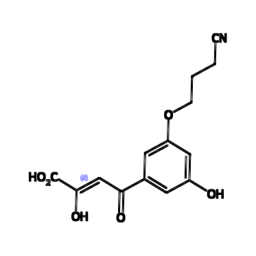 N#CCCCOc1cc(O)cc(C(=O)/C=C(\O)C(=O)O)c1